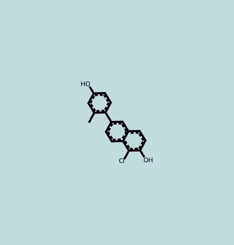 Cc1cc(O)ccc1-c1ccc2c(Cl)c(O)ccc2c1